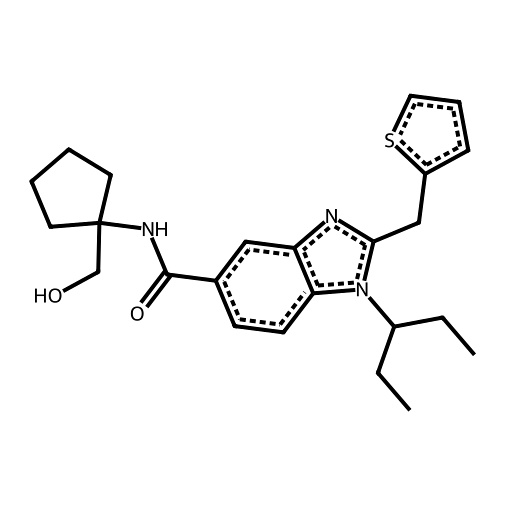 CCC(CC)n1c(Cc2cccs2)nc2cc(C(=O)NC3(CO)CCCC3)ccc21